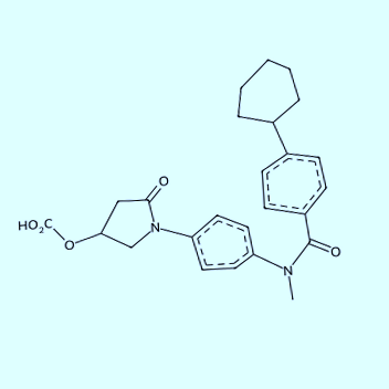 CN(C(=O)c1ccc(C2CCCCC2)cc1)c1ccc(N2CC(OC(=O)O)CC2=O)cc1